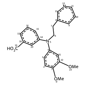 COc1ccc(N(CCc2cccnc2)c2cccc(C(=O)O)c2)cc1OC